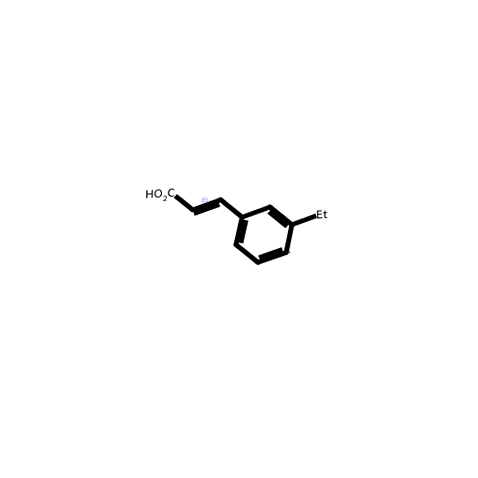 CCc1[c]ccc(/C=C/C(=O)O)c1